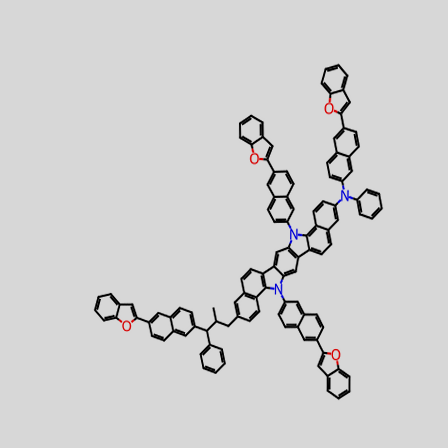 CC(Cc1ccc2c(ccc3c4cc5c(cc4n(-c4ccc6cc(-c7cc8ccccc8o7)ccc6c4)c23)c2ccc3cc(N(c4ccccc4)c4ccc6cc(-c7cc8ccccc8o7)ccc6c4)ccc3c2n5-c2ccc3cc(-c4cc5ccccc5o4)ccc3c2)c1)C(c1ccccc1)c1ccc2cc(-c3cc4ccccc4o3)ccc2c1